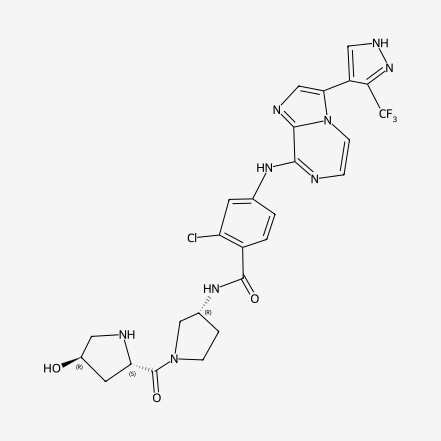 O=C(N[C@@H]1CCN(C(=O)[C@@H]2C[C@@H](O)CN2)C1)c1ccc(Nc2nccn3c(-c4c[nH]nc4C(F)(F)F)cnc23)cc1Cl